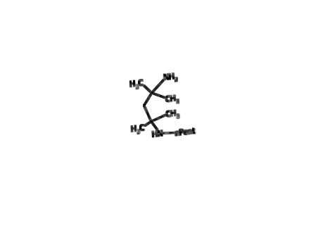 CCCCCNC(C)(C)CC(C)(C)N